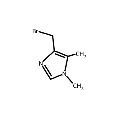 Cc1c(CBr)ncn1C